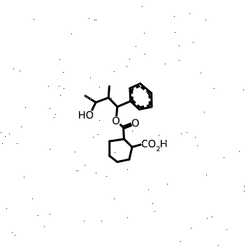 CC(O)C(C)C(OC(=O)C1CCCCC1C(=O)O)c1ccccc1